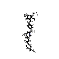 COc1cc(OC)c(CF)c(COc2cnc(N/C(C=N)=C/NCC(=O)N3CCN(C)CC3)nc2)c1F